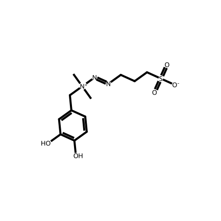 C[N+](C)(Cc1ccc(O)c(O)c1)N=NCCCS(=O)(=O)[O-]